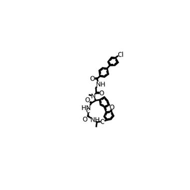 CC1Cc2ccc3oc4ccc(cc4c3c2)C(N(C)C(=O)CNC(=O)c2ccc(-c3ccc(Cl)cc3)cc2)C(=O)NCC(=O)N1